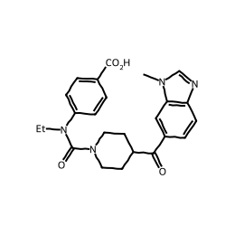 CCN(C(=O)N1CCC(C(=O)c2ccc3ncn(C)c3c2)CC1)c1ccc(C(=O)O)cc1